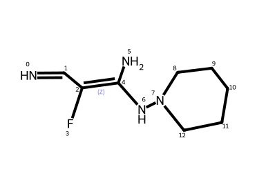 N=C/C(F)=C(\N)NN1CCCCC1